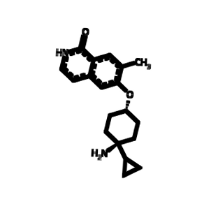 Cc1cc2c(=O)[nH]ccc2cc1O[C@H]1CC[C@@](N)(C2CC2)CC1